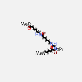 CCCN(CC(=O)NCCCCCC(=O)NCCCCCC(=O)OC)C(=O)CCCCCNC